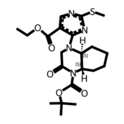 CCOC(=O)c1cnc(SC)nc1N1CC(=O)N(C(=O)OC(C)(C)C)[C@H]2CCCC[C@@H]21